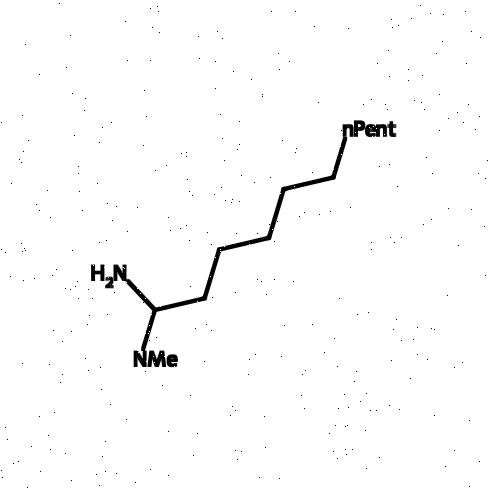 CCCCCCCCCCC(N)NC